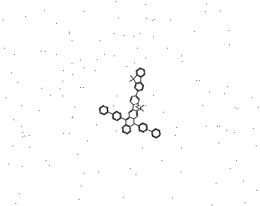 CC1(C)c2ccccc2-c2ccc(C3=CC4C(C=C3)C3=CC5=C(c6ccc(-c7ccccc7)cc6)c6ccccc6C(c6ccc(-c7ccccc7)cc6)C5C=C3[Si]4(C)C)cc21